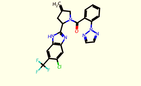 C=C1CC(c2nc3cc(Cl)c(C(F)(F)F)cc3[nH]2)N(C(=O)c2ccccc2-n2nccn2)C1